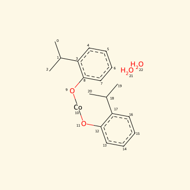 CC(C)c1ccccc1[O][Co][O]c1ccccc1C(C)C.O.O